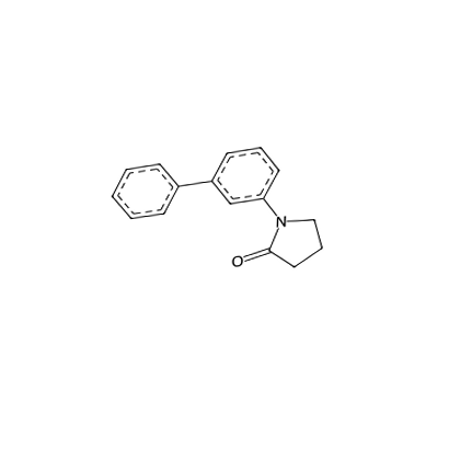 O=C1CCCN1c1cccc(-c2ccccc2)c1